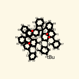 CC(C)(C)c1cc2c3c(c1)N(c1ccccc1-c1ccccc1)c1cc4c(cc1B3c1cc3c(cc1N2c1ccccc1-c1ccccc1)-c1ccccc1C31c2ccccc2-c2ccccc21)C1(c2ccccc2-c2ccccc21)c1ccccc1-4